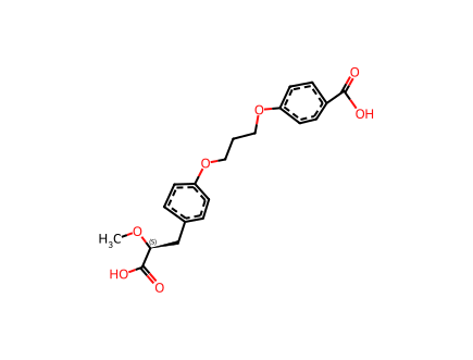 CO[C@@H](Cc1ccc(OCCCOc2ccc(C(=O)O)cc2)cc1)C(=O)O